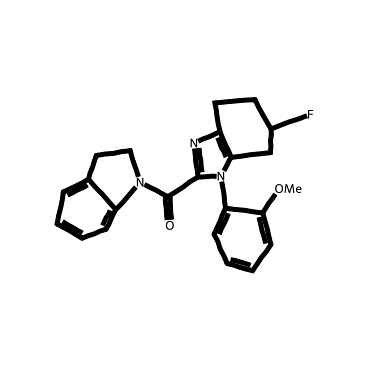 COc1ccccc1-n1c(C(=O)N2CCc3ccccc32)nc2c1CC(F)CC2